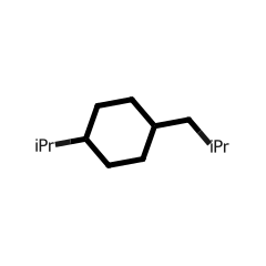 [CH2]C(C)CC1CCC(C(C)C)CC1